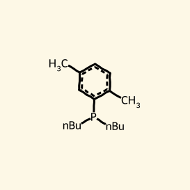 CCCCP(CCCC)c1cc(C)ccc1C